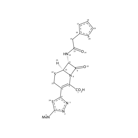 CNc1nnc(C2=C(C(=O)O)N3C(=O)[C@@H](NC(=O)Cc4cccs4)[C@@H]3SC2)s1